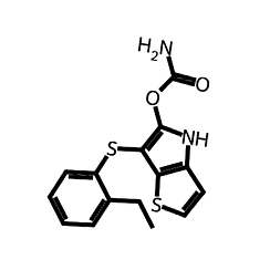 CCc1ccccc1Sc1c(OC(N)=O)[nH]c2ccsc12